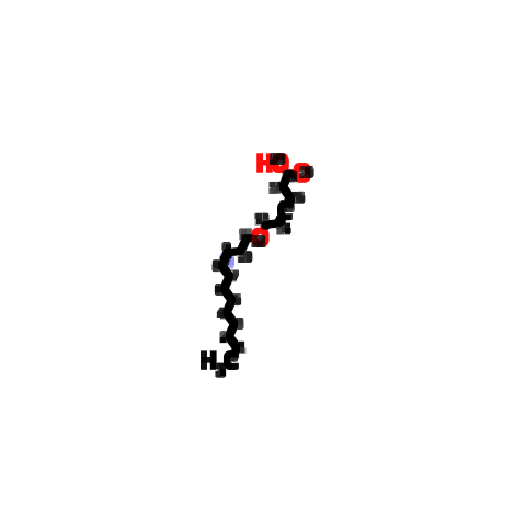 CCCCCCCC/C=C\CCOCC=C=CCC(=O)O